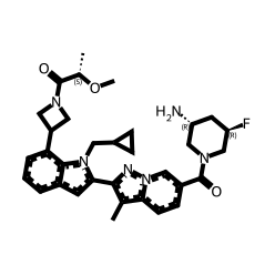 CO[C@@H](C)C(=O)N1CC(c2cccc3cc(-c4nn5cc(C(=O)N6C[C@H](N)C[C@@H](F)C6)ccc5c4C)n(CC4CC4)c23)C1